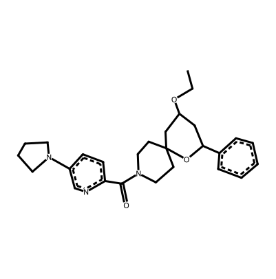 CCOC1CC(c2ccccc2)OC2(CCN(C(=O)c3ccc(N4CCCC4)cn3)CC2)C1